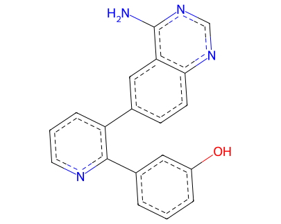 Nc1ncnc2ccc(-c3cccnc3-c3cccc(O)c3)cc12